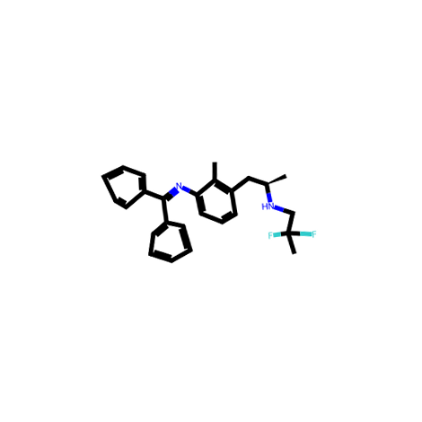 Cc1c(C[C@@H](C)NCC(C)(F)F)cccc1N=C(c1ccccc1)c1ccccc1